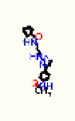 CC(=O)Nc1ccc(-c2ccnc(NCCCNC(=O)c3ccccc3Cl)n2)cc1